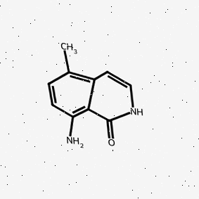 Cc1ccc(N)c2c(=O)[nH]ccc12